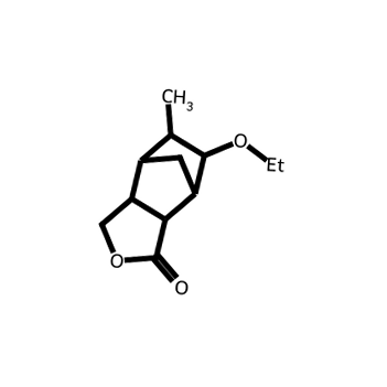 CCOC1C(C)C2CC1C1C(=O)OCC21